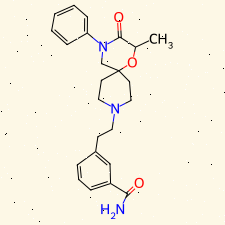 CC1OC2(CCN(CCc3cccc(C(N)=O)c3)CC2)CN(c2ccccc2)C1=O